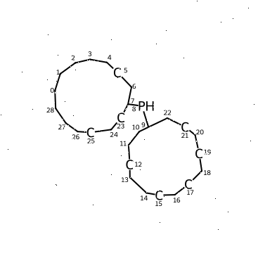 C1CCCCCCC(PC2CCCCCCCCCCCCC2)CCCCCC1